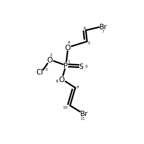 S=P(OCl)(OC=CBr)OC=CBr